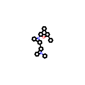 c1ccc(-c2ccc3c4ccccc4c4ccc(-n5c6ccccc6c6cc(-c7ccc8c(c7)c7ccccc7n8-c7ccccc7)ccc65)c5oc2c3c54)cc1